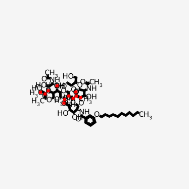 CCCCCCCCCCCOc1cccc(C(=O)N[C@@H]2C(O[C@H]3C(O)C(NC(C)=O)[C@H](OC(CO)C(CO)O[C@@H](O[C@H]4C(O)C(NC(C)=O)C(OC(C)C(CO)OC(O)[C@H](O)NC(C)=O)O[C@H]4CO)[C@H](C)NC(C)=O)O[C@H]3CO)OC(CO)[C@@H](O)[C@@H]2O)c1